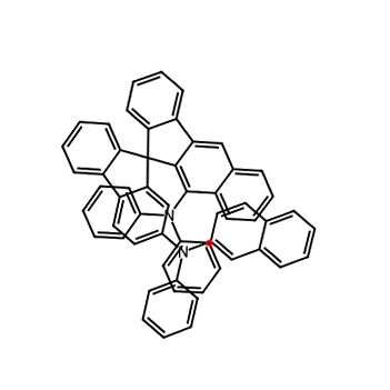 c1ccc(N(c2ccc3c(c2)C2(c4ccccc4-3)c3ccccc3-c3cc4ccccc4c(N(c4ccccc4)c4ccccc4)c32)c2ccc3ccccc3c2)cc1